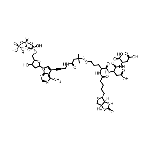 CC(C)(CC(=O)NCC#Cc1cn(C2CC(O)C(COP(=O)(O)OP(=O)(O)OP(=O)(O)O)O2)c2ncnc(N)c12)SSCCCC(NC(=O)CCCC[C@@H]1SC[C@@H]2NC(=O)N[C@@H]21)C(=O)NC(CC(=O)O)C(=O)NC(CC(=O)O)C(=O)O